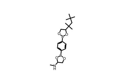 CNC1COB(c2ccc(B3OCC(C(C)(C)CC(C)(C)C)O3)cc2)O1